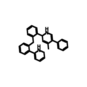 CC1=CC(c2ccccc2Cc2ccccc2C2=CC=CCN2)NC=C1c1ccccc1